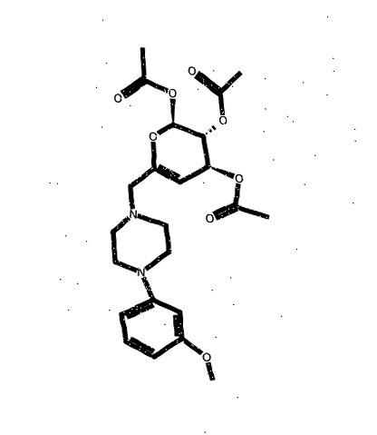 COc1cccc(N2CCN(CC3=C[C@H](OC(C)=O)[C@@H](OC(C)=O)[C@H](OC(C)=O)O3)CC2)c1